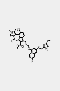 CCc1cc(CSc2cc(OCCCn3c(C(=O)OC)c(C)c4c(-c5c(C=O)nn(C)c5C)c(Cl)ccc43)c3ccc(F)cc3c2)n(C)n1